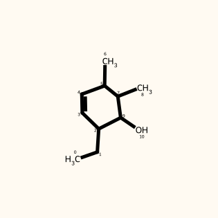 CCC1C=CC(C)C(C)C1O